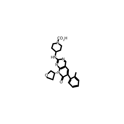 Cc1ccccc1-c1cc2cnc(NC3CCN(C(=O)O)CC3)nc2n([C@@H]2CCOC2)c1=O